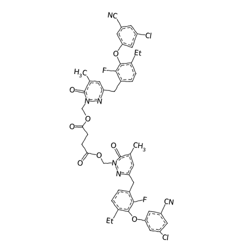 CCc1ccc(Cc2cc(C)c(=O)n(COC(=O)CCC(=O)OCn3nc(Cc4ccc(CC)c(Oc5cc(Cl)cc(C#N)c5)c4F)cc(C)c3=O)n2)c(F)c1Oc1cc(Cl)cc(C#N)c1